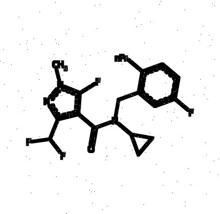 CCCc1ccc(F)cc1CN(C(=O)c1c(C(F)F)nn(C)c1F)C1CC1